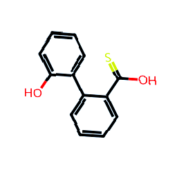 OC(=S)c1ccccc1-c1ccccc1O